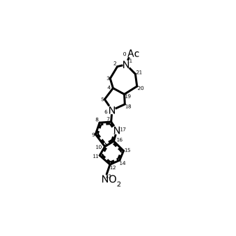 CC(=O)N1CCC2CN(c3ccc4cc([N+](=O)[O-])ccc4n3)CC2CC1